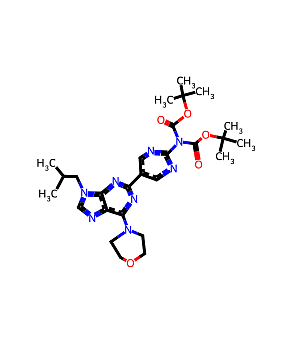 CC(C)Cn1cnc2c(N3CCOCC3)nc(-c3cnc(N(C(=O)OC(C)(C)C)C(=O)OC(C)(C)C)nc3)nc21